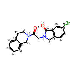 O=C(CN1Cc2ccc(Br)cc2C1=O)N1CCc2ccccc2C1